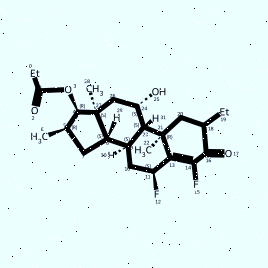 CCC(=O)O[C@@H]1[C@H](C)C[C@H]2[C@@H]3C[C@H](F)C4=C(F)C(=O)C(CC)C[C@]4(C)[C@H]3[C@@H](O)C[C@]12C